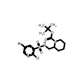 CC(C)(C)OC(=O)N1CCCCC1CNS(=O)(=O)c1cc(Br)cnc1Cl